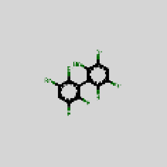 Brc1cc(Br)c(Br)c(-c2c(Br)c(Br)cc(Br)c2Br)c1Br